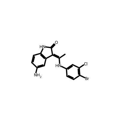 CC(Nc1ccc(Br)c(Cl)c1)=C1C(=O)Nc2ccc(N)cc21